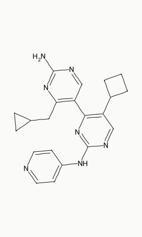 Nc1ncc(-c2nc(Nc3ccncc3)ncc2C2CCC2)c(CC2CC2)n1